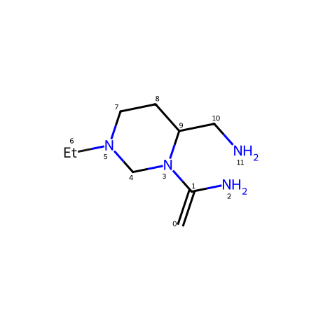 C=C(N)N1CN(CC)CCC1CN